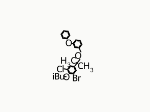 CCC(C)Oc1c(Cl)cc(C(C)(C)COCc2cccc(Oc3ccccc3)c2)cc1Br